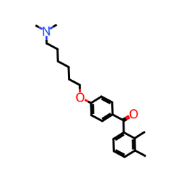 Cc1cccc(C(=O)c2ccc(OCCCCCCN(C)C)cc2)c1C